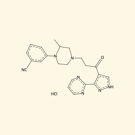 CC1CN(CCC(=O)c2c[nH]nc2-c2ncccn2)CCN1c1cccc(C#N)c1.Cl